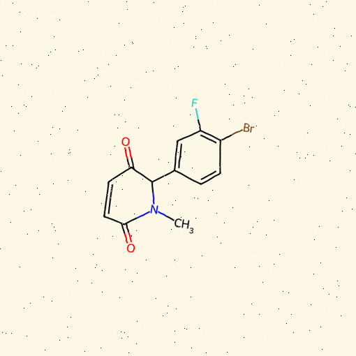 CN1C(=O)C=CC(=O)C1c1ccc(Br)c(F)c1